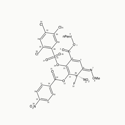 CCCCCOC(=O)C1=CC(=NOC)[C@](F)([N+](=O)[O-])C(OC(=O)c2ccc([N+](=O)[O-])cc2)=C1OS(=O)(=O)c1cc(Cl)c(Cl)cc1Cl